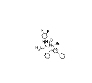 CC(C)(C)[C@H](c1nc(-c2ccccc2)cn1Cc1ccccc1)N(C[C@H](F)CN)C(=O)Nc1ccc(F)c(F)c1